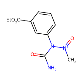 CCOC(=O)c1cccc(N(C(N)=O)[N+](C)=O)c1